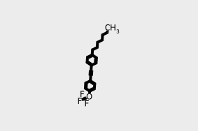 CCCCCCCc1ccc(C#Cc2ccc(OC(F)(F)F)cc2)cc1